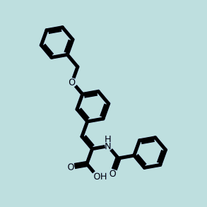 O=C(O)/C(=C/c1cccc(OCc2ccccc2)c1)NC(=O)c1ccccc1